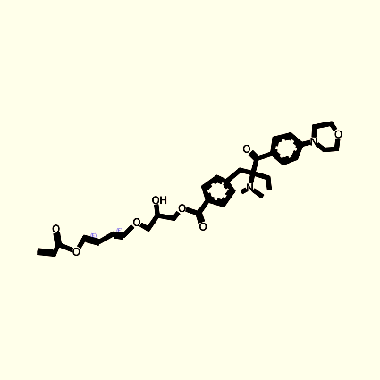 C=CC(=O)O/C=C/C=C/OCC(O)COC(=O)c1ccc(CC(CC)(C(=O)c2ccc(N3CCOCC3)cc2)N(C)C)cc1